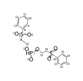 O=[PH](OCCS(=O)(=O)c1ccccc1)OCCS(=O)(=O)c1ccccc1